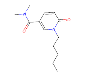 CCCCCn1cc(C(=O)N(C)C)ccc1=O